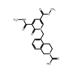 CNC(=O)c1cc(C(=O)OC)cn(Cc2cccc3c2CCN(C(=O)O)C3)c1=O